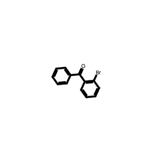 O=C(c1ccccc1)c1ccc[c]c1Br